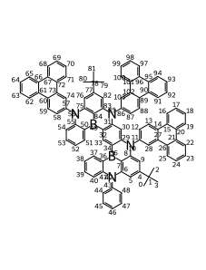 CC(C)(C)c1cc2c3c(c1)N(c1ccc4c5ccccc5c5ccccc5c4c1)c1cc4c(cc1B3c1ccccc1N2c1ccccc1)B1c2ccccc2N(c2ccc3c5ccccc5c5ccccc5c3c2)c2cc(C(C)(C)C)cc(c21)N4c1ccc2c3ccccc3c3ccccc3c2c1